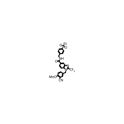 CCS(=O)(=O)c1ccc(CNC(=O)c2ccc3c(c2)nc(C(F)(F)F)n3Cc2ccc(OC)c(C#N)c2)cc1